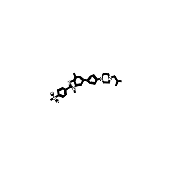 Cc1cc(-c2ccc(N3CCN(CC(C)C)CC3)cc2)cc2c1nc(-c1ccc(S(C)(=O)=O)cc1)n2C